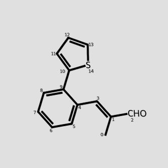 C/C(C=O)=C\c1ccccc1-c1cccs1